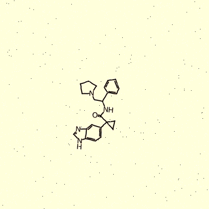 O=C(NC(CN1CCCC1)c1ccccc1)C1(c2ccc3[nH]cnc3c2)CC1